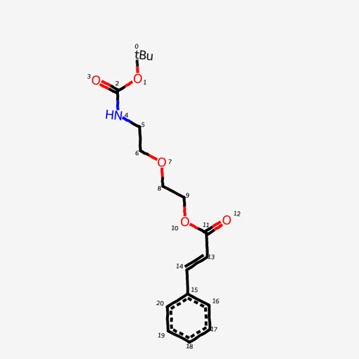 CC(C)(C)OC(=O)NCCOCCOC(=O)C=Cc1ccccc1